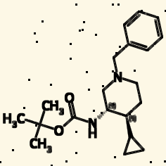 CC(C)(C)OC(=O)N[C@@H]1CN(Cc2ccccc2)CC[C@H]1C1CC1